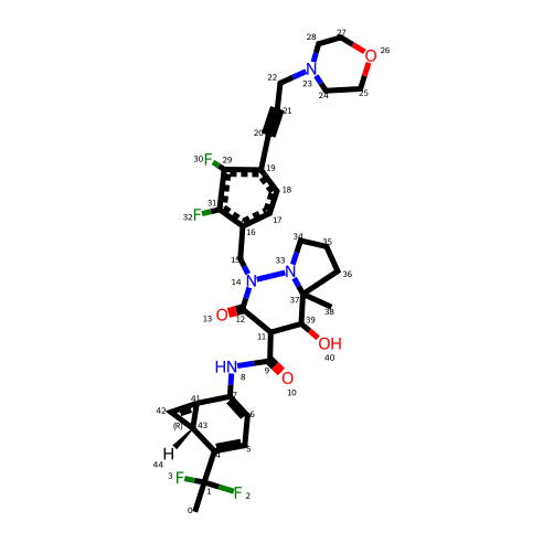 CC(F)(F)C1=CC=C(NC(=O)C2C(=O)N(Cc3ccc(C#CCN4CCOCC4)c(F)c3F)N3CCCC3(C)C2O)C2=C[C@H]21